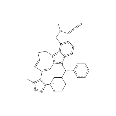 Cc1nnn(C)c1C1=C/c2c(c3c4c(ccc3n2[C@H](c2ccccc2)C2CCOCC2)C(=C=O)N(C)C4)CC\C=C\1